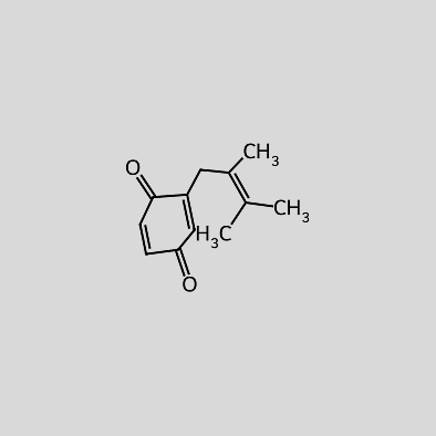 CC(C)=C(C)CC1=CC(=O)C=CC1=O